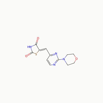 O=C1NC(=O)/C(=C/c2ccnc(N3CCOCC3)n2)S1